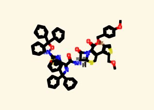 COCc1scc(Br)c1C1=C(C(=O)OCc2ccc(OC)cc2)N2C(=O)[C@@H](NC(=O)C(=NC(c3ccccc3)(c3ccccc3)c3ccccc3)c3csc(NOC(c4ccccc4)(c4ccccc4)c4ccccc4)n3)[C@@H]2SC1